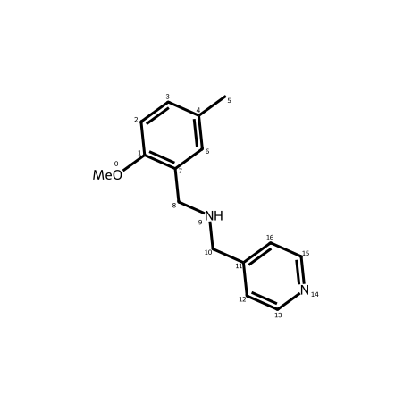 COc1ccc(C)cc1CNCc1ccncc1